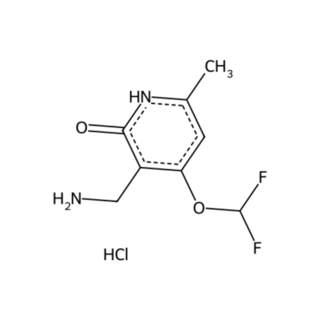 Cc1cc(OC(F)F)c(CN)c(=O)[nH]1.Cl